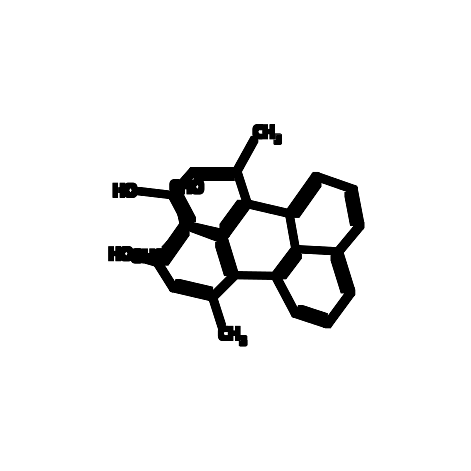 Cc1cc(O)c(C=O)cc1-c1cccc2cccc(-c3cc(C=O)c(O)cc3C)c12